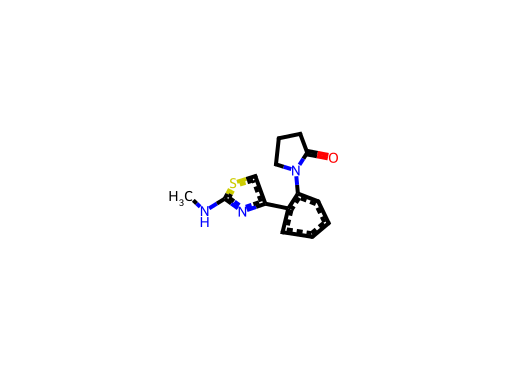 CNc1nc(-c2ccccc2N2CCCC2=O)cs1